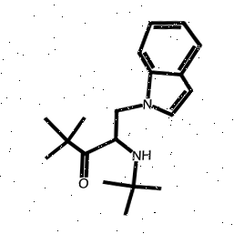 CC(C)(C)NC(Cn1ccc2ccccc21)C(=O)C(C)(C)C